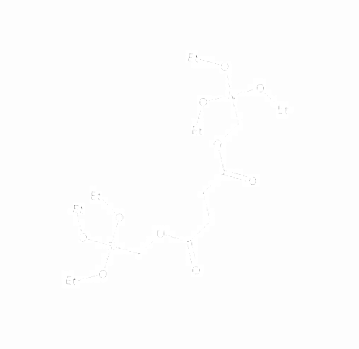 CCO[Si](COC(=O)CCC(=O)OC[Si](OCC)(OCC)OCC)(OCC)OCC